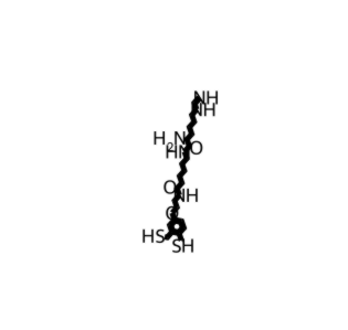 N=CNCCCC[C@H](N)C(=O)NCCCCCC(=O)NCCOc1ccc(CS)c(CS)c1